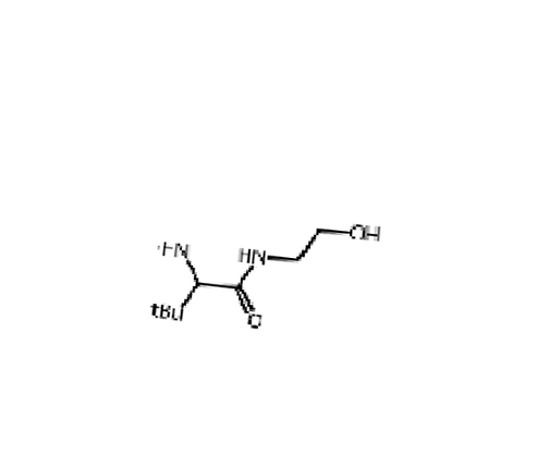 CC(C)(C)C([NH])C(=O)NCCO